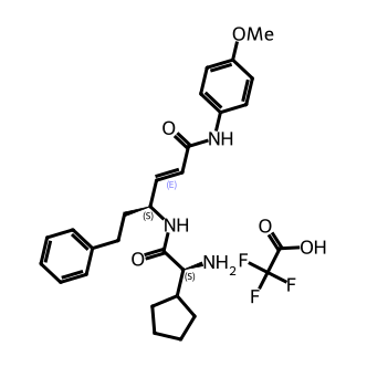 COc1ccc(NC(=O)/C=C/[C@H](CCc2ccccc2)NC(=O)[C@@H](N)C2CCCC2)cc1.O=C(O)C(F)(F)F